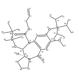 C=CCOC(=O)N1c2cc(O[Si](C(C)C)(C(C)C)C(C)C)c(OC)cc2C(=O)N2CCC[C@H]2C1O[Si](C)(C)C(C)(C)C